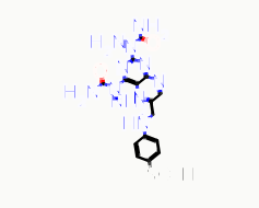 NC(=O)N(N)c1nc(N(N)C(N)=O)c2nc(CNc3ccc(S(=O)(=O)O)cc3)cnc2n1